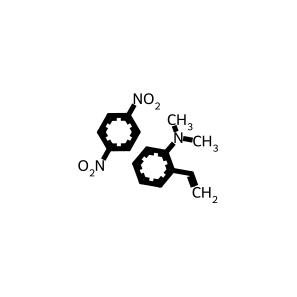 C=Cc1ccccc1N(C)C.O=[N+]([O-])c1ccc([N+](=O)[O-])cc1